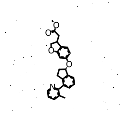 COC(=O)CC1COc2cc(O[C@@H]3CCc4c(-c5ncccc5C)cccc43)ccc21